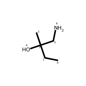 CCC(C)(O)CN